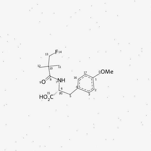 COc1ccc(C[C@@H](NC(=O)C(C)(C)CF)C(=O)O)cc1